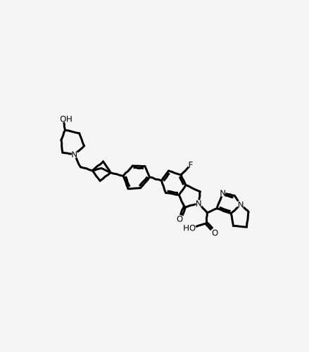 O=C(O)C(c1ncn2c1CCC2)N1Cc2c(F)cc(-c3ccc(C45CC(CN6CCC(O)CC6)(C4)C5)cc3)cc2C1=O